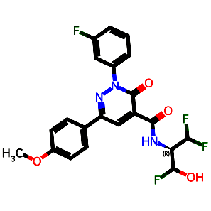 COc1ccc(-c2cc(C(=O)N[C@H](C(O)F)C(F)F)c(=O)n(-c3cccc(F)c3)n2)cc1